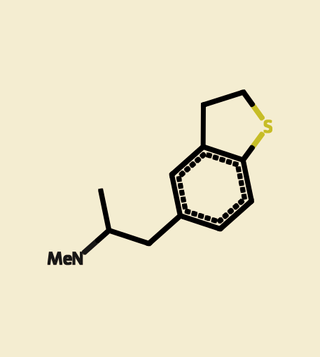 CNC(C)Cc1ccc2c(c1)CCS2